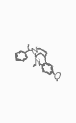 COc1ccc2c(c1)C1CCN(C(C)c3ccccc3)C(C1)N2C